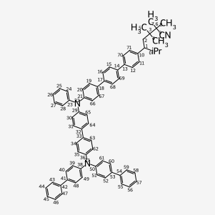 CC(C)C(CC(C)(C)C(C)(C)C#N)c1ccc(-c2ccc(-c3ccc(N(c4ccccc4)c4ccc(-c5ccc(N(c6ccc(-c7ccccc7)cc6)c6ccc(-c7ccccc7)cc6)cc5)cc4)cc3)cc2)cc1